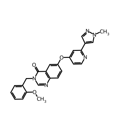 COc1ccccc1Cn1cnc2ccc(Oc3ccnc(-c4cnn(C)c4)c3)cc2c1=O